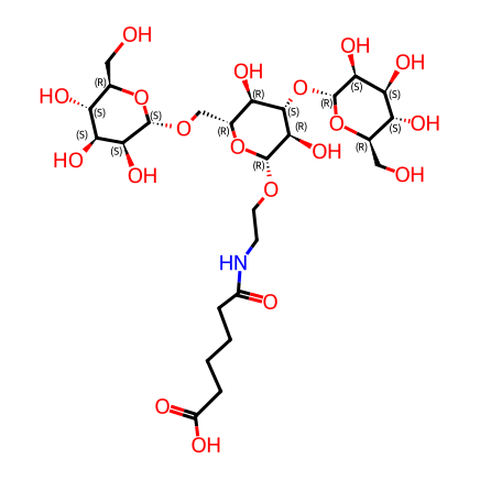 O=C(O)CCCCC(=O)NCCO[C@@H]1O[C@H](CO[C@H]2O[C@H](CO)[C@@H](O)[C@H](O)[C@@H]2O)[C@@H](O)[C@H](O[C@H]2O[C@H](CO)[C@@H](O)[C@H](O)[C@@H]2O)[C@H]1O